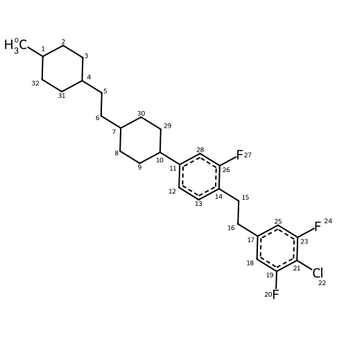 CC1CCC(CCC2CCC(c3ccc(CCc4cc(F)c(Cl)c(F)c4)c(F)c3)CC2)CC1